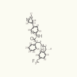 C[C@@H](CNCC(C(=O)Nc1ccc(-c2cnn(C)c2)cn1)c1ccccc1)c1ccc(C(F)(F)F)cc1